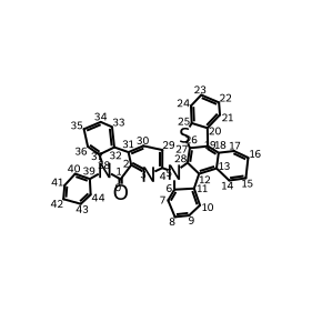 O=c1c2nc(-n3c4ccccc4c4c5ccccc5c5c6ccccc6sc5c43)ccc2c2ccccc2n1-c1ccccc1